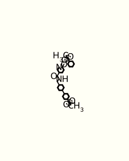 CS(=O)(=O)c1ccc(-c2ccc(CNC(=O)c3ccc(Oc4ccccc4S(C)(=O)=O)nc3)cc2)cc1